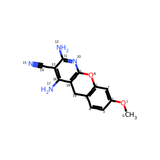 COc1ccc2c(c1)Oc1nc(N)c(C#N)c(N)c1C2